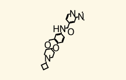 CN(C)c1cc(C(=O)Nc2ccc3c(c2)COC2(CCN(C4CCC4)CC2)O3)ccn1